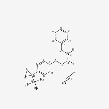 CC#N.CC(CCc1ccc(C2(C(F)(F)F)CC2)cc1)N(C)Cc1ccccc1